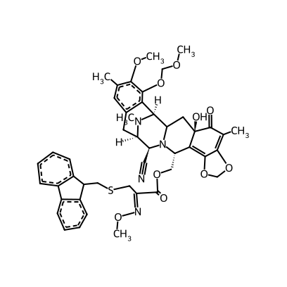 COCOc1c(OC)c(C)cc2c1[C@H]1C3C[C@]4(O)C(=O)C(C)=C5OCOC5=C4[C@H](COC(=O)/C(CSCC4c5ccccc5-c5ccccc54)=N/OC)N3[C@@H](C#N)[C@@H](C2)N1C